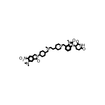 CN(CCC1CCN(Cc2cccc3c2n(C)c(=O)n3C2CCC(=O)NC2=O)CC1)CC1CCC(N2Cc3cc([N+](=O)[O-])c(N(C)C)cc3C2=O)CC1